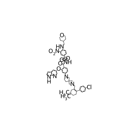 CC1(C)CCC(c2ccc(Cl)cc2)=C(CN2CC3(CCN(c4ccc(C(=O)NS(=O)(=O)c5ccc(NCC6CCOCC6)c([N+](=O)[O-])c5)c(Oc5cnc6[nH]ccc6c5)c4)C3)C2)C1